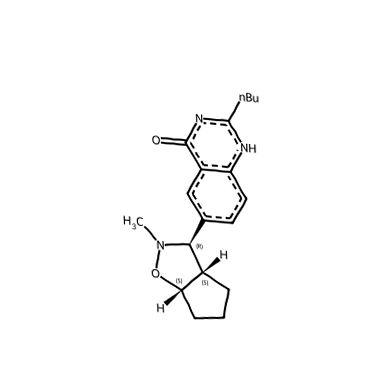 CCCCc1nc(=O)c2cc([C@H]3[C@@H]4CCC[C@@H]4ON3C)ccc2[nH]1